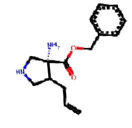 C=CCC1CNC[C@@]1(N)C(=O)OCc1ccccc1